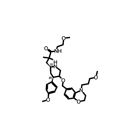 COCCCN1CCOc2ccc(COC3CN[C@H](CC(C)(C)C(=O)NCCOC)C[C@@H]3c3ccc(OC)cc3)cc21